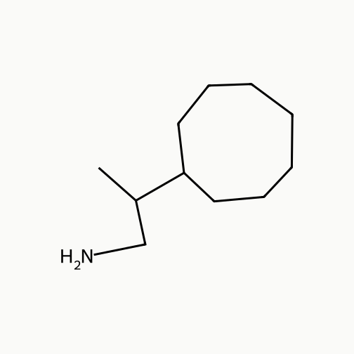 CC(CN)C1CCCCCCC1